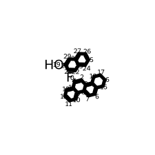 Fc1cc2c3c(ccc2c2ccccc12)CCCC3.Oc1ccc2ccccc2c1